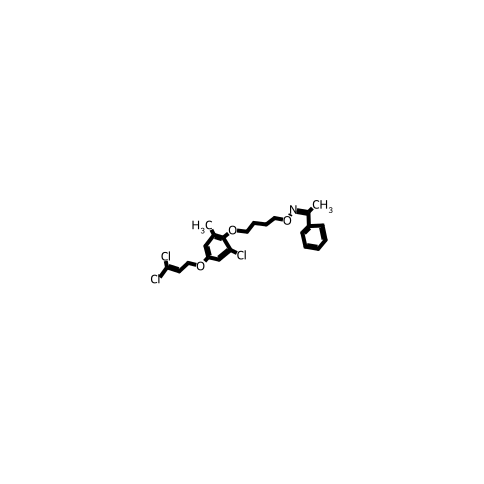 CC(=NOCCCCOc1c(C)cc(OCC=C(Cl)Cl)cc1Cl)c1ccccc1